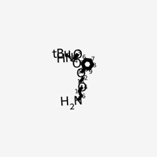 CC(C)(C)NC(=O)Oc1ccccc1OCCOCCN